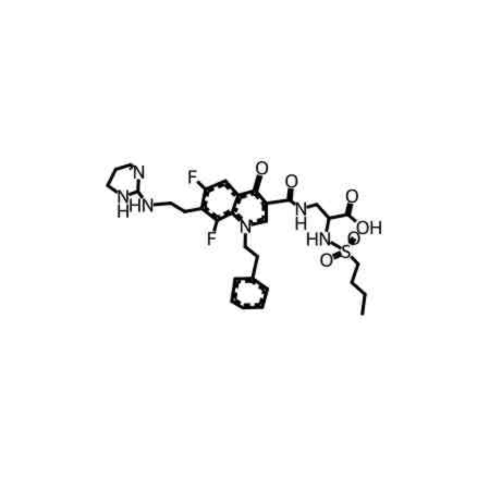 CCCCS(=O)(=O)NC(CNC(=O)c1cn(CCc2ccccc2)c2c(F)c(CCNC3N=CCCN3)c(F)cc2c1=O)C(=O)O